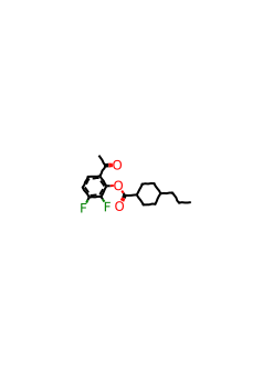 CCCC1CCC(C(=O)Oc2c(C(C)=O)ccc(F)c2F)CC1